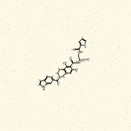 O=C[C@H](CNC(=O)c1cccs1)NC(=O)c1c(Cl)cc2c(c1Cl)CCN(C(=O)c1ccc3cc[nH]c3c1)C2